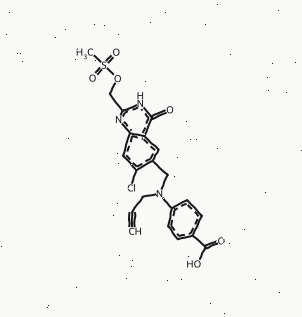 C#CCN(Cc1cc2c(=O)[nH]c(COS(C)(=O)=O)nc2cc1Cl)c1ccc(C(=O)O)cc1